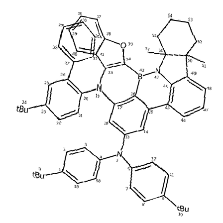 CC(C)(C)c1ccc(N(c2ccc(C(C)(C)C)cc2)c2cc3c4c(c2)N(c2ccc(C(C)(C)C)cc2-c2ccccc2)c2c(oc5ccccc25)B4N2c4c-3cccc4C3(C)CCCCC23C)cc1